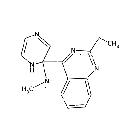 CCc1nc(C2(NC)C=NC=CN2)c2ccccc2n1